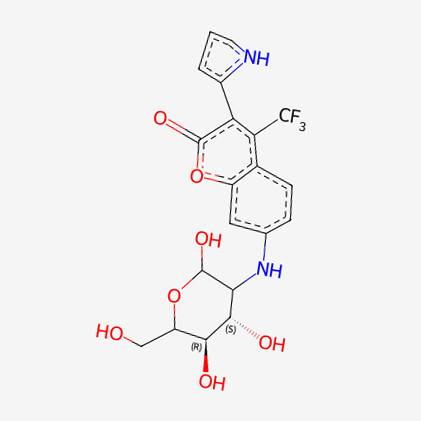 O=c1oc2cc(NC3C(O)OC(CO)[C@H](O)[C@H]3O)ccc2c(C(F)(F)F)c1-c1ccc[nH]1